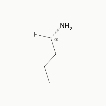 CCC[C@@H](N)I